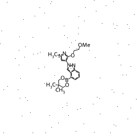 COCCOc1nn(C)cc1-n1cc2c(B3OCC(C)(C)CO3)cccc2n1